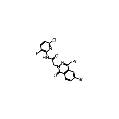 CC(C)c1nn(CC(=O)Nc2nc(Cl)ccc2F)c(=O)c2ccc(Br)cc12